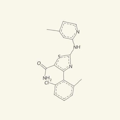 Cc1ccnc(Nc2nc(-c3c(C)cccc3Cl)c(C(N)=O)s2)c1